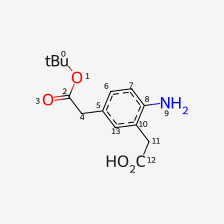 CC(C)(C)OC(=O)Cc1ccc(N)c(CC(=O)O)c1